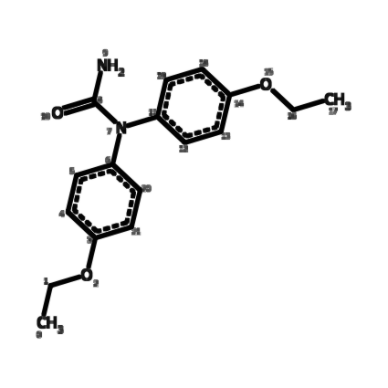 CCOc1ccc(N(C(N)=O)c2ccc(OCC)cc2)cc1